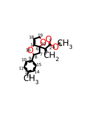 C=C(C(=O)OC)C12CC(c3ccc(C)cc3)OC1=CCO2